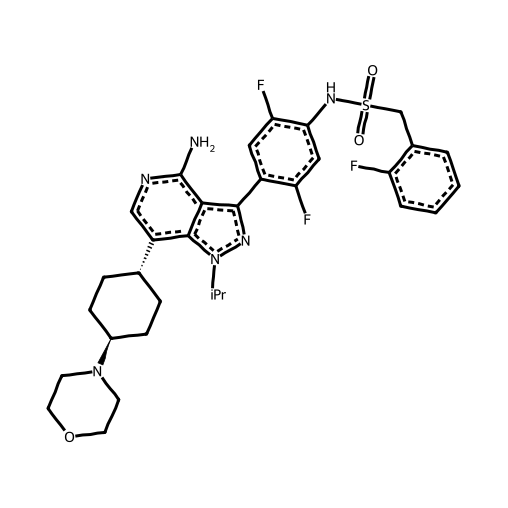 CC(C)n1nc(-c2cc(F)c(NS(=O)(=O)Cc3ccccc3F)cc2F)c2c(N)ncc([C@H]3CC[C@H](N4CCOCC4)CC3)c21